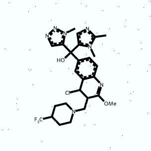 COC1=Nc2ccc(C(O)(c3cnnn3C)c3cnc(C)n3C)cc2C(Cl)C1CN1CCC(C(F)(F)F)CC1